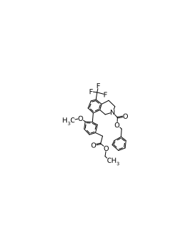 CCOC(=O)Cc1ccc(OC)c(-c2ccc(C(F)(F)F)c3c2CN(C(=O)OCc2ccccc2)CC3)c1